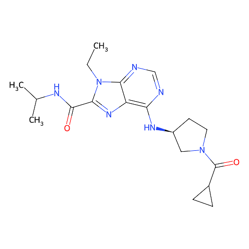 CCn1c(C(=O)NC(C)C)nc2c(N[C@H]3CCN(C(=O)C4CC4)C3)ncnc21